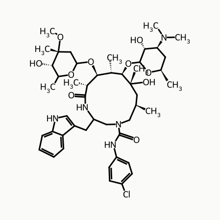 CO[C@]1(C)CC(O[C@H]2[C@H](C)[C@@H](OC3O[C@H](C)C[C@H](N(C)C)[C@H]3O)[C@](C)(O)C[C@@H](C)CN(C(=O)Nc3ccc(Cl)cc3)CC(Cc3c[nH]c4ccccc34)NC(=O)[C@@H]2C)OC(C)[C@@H]1O